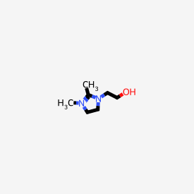 CC1=[N+](C)CCN1CCO